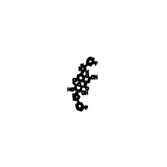 O=C([C@@H]1O[C@H](CO)[C@H](O)[C@H](n2cc(-c3cccc(F)c3)nn2)[C@H]1O)N(CCO)[C@@H]1CCC[C@H](n2cc(-c3cccc(F)c3)nn2)[C@H]1O